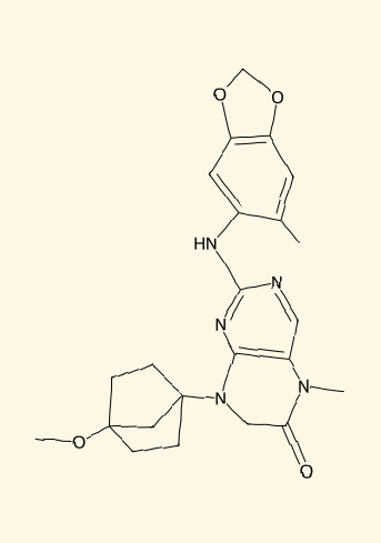 COC12CCC(N3CC(=O)N(C)c4cnc(Nc5cc6c(cc5C)OCO6)nc43)(CC1)C2